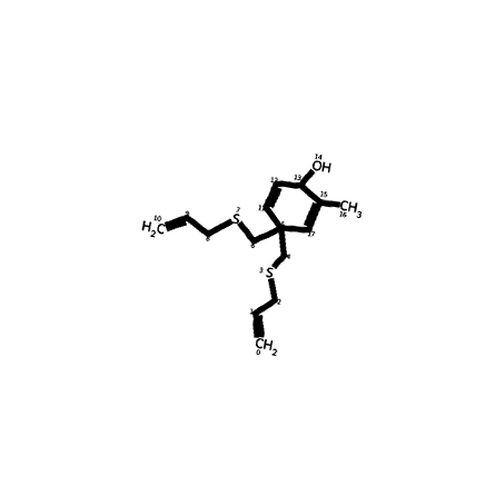 C=CCSCC1(CSCC=C)C=CC(O)C(C)=C1